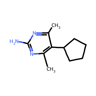 Cc1nc(N)nc(C)c1C1CCCC1